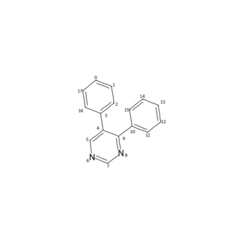 c1ccc(-c2cncnc2-c2ccccc2)cc1